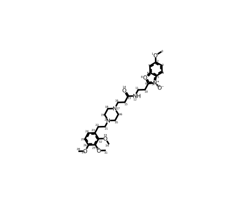 COc1ccc2c(c1)oc(CCNC(=O)CCN1CCN(CCc3ccc(OC)c(OC)c3OC)CC1)[n+]2[O-]